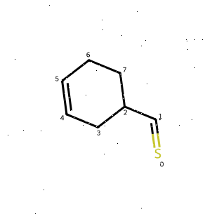 S=[C]C1CC=CCC1